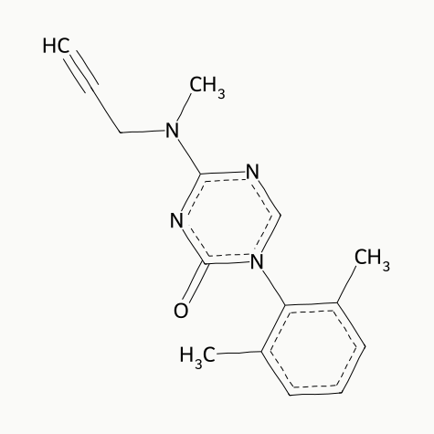 C#CCN(C)c1ncn(-c2c(C)cccc2C)c(=O)n1